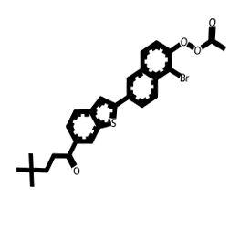 CC(=O)OOc1ccc2cc(-c3cc4ccc(C(=O)CCC(C)(C)C)cc4s3)ccc2c1Br